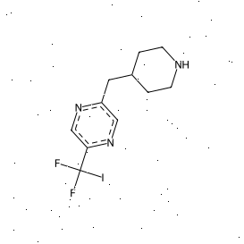 FC(F)(I)c1cnc(CC2CCNCC2)cn1